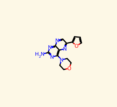 Nc1nc(N2CCOCC2)c2nc(-c3ccco3)cnc2n1